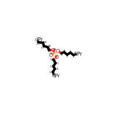 CC(C)CCCCCOP(=O)(OCCCCCC(C)C)OCCCCCC(C)C